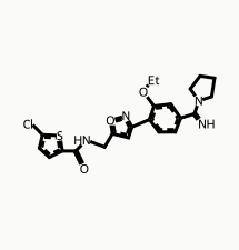 CCOc1cc(C(=N)N2CCCC2)ccc1-c1cc(CNC(=O)c2ccc(Cl)s2)on1